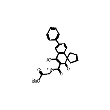 CC(C)COC(=O)CNC(=O)C1=C(O)c2cc(-c3ccccc3)ccc2C2(CCCC2)C1=O